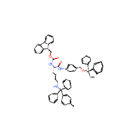 Cc1ccc(C(NCCCC[C@H](NC(=O)OCC2c3ccccc3-c3ccccc32)C(=O)Nc2ccc(CO[Si](c3ccccc3)(c3ccccc3)C(C)(C)C)cc2)(c2ccccc2)c2ccccc2)cc1